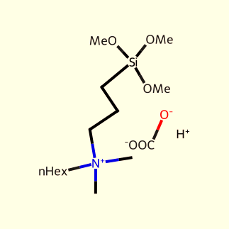 CCCCCC[N+](C)(C)CCC[Si](OC)(OC)OC.O=C([O-])[O-].[H+]